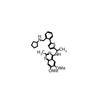 COc1cc2nc(C)nc(NC(C)c3ccc(-c4ccccc4CNC4CCCC4)s3)c2cc1OC